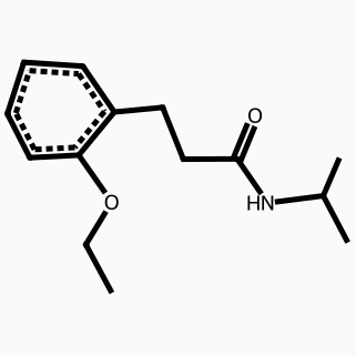 CCOc1ccccc1CCC(=O)NC(C)C